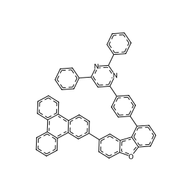 c1ccc(-c2cc(-c3ccc(-c4cccc5oc6ccc(-c7ccc8c9ccccc9c9ccccc9c8c7)cc6c45)cc3)nc(-c3ccccc3)n2)cc1